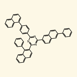 c1ccc(-c2ccc3cc(-c4nc(-c5ccc(-c6cccc7ccccc67)cc5)nc(-c5ccc6ccccc6c5-c5ccccc5)n4)ccc3c2)cc1